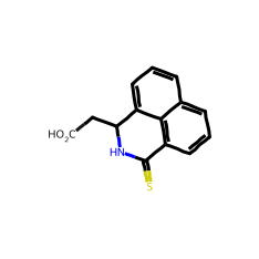 O=C(O)CC1NC(=S)c2cccc3cccc1c23